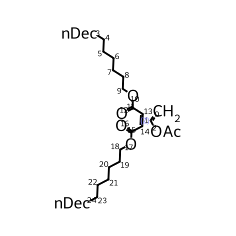 C=COC(C)=O.CCCCCCCCCCCCCCCCOC(=O)/C=C\C(=O)OCCCCCCCCCCCCCCCC